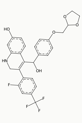 Oc1ccc2c(c1)NCC(c1ccc(C(F)(F)F)cc1F)=C2C(O)c1ccc(OCC2OCCO2)cc1